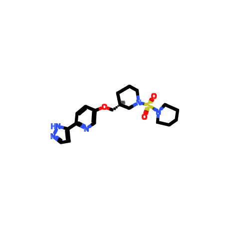 O=S(=O)(N1CCCCC1)N1CCC[C@@H](COc2ccc(-c3ccn[nH]3)nc2)C1